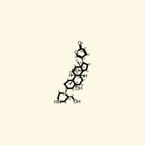 C[C@]12CC[C@H](N3CCNC[C@@H]3CO)C[C@@]1(O)CC[C@@H]1[C@@H]2CC[C@]2(C)[C@@H](c3ccc(=O)oc3)CC[C@]12O